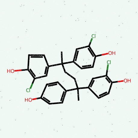 CC(CCC(C)(c1ccc(O)c(Cl)c1)c1ccc(O)c(Cl)c1)(c1ccc(O)cc1)c1ccc(O)c(Cl)c1